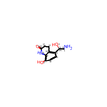 NC[C@H](O)c1ccc(O)c2c1CCC(=O)N2